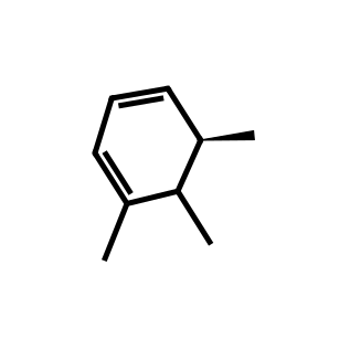 CC1=CC=C[C@@H](C)C1C